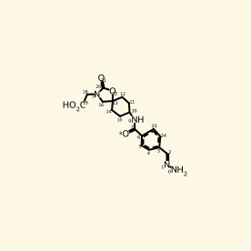 NN=Cc1ccc(C(=O)NC2CCC3(CC2)CN(CC(=O)O)C(=O)O3)cc1